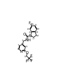 O=C(NCc1ccnc(OCC(F)(F)F)c1)N1CCc2ccc(F)cc21